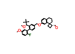 COc1ccc(F)c(-c2ccc(COc3ccc4c(c3)[C@@]3(CCC4)CC[C@H]3C=O)cc2[C@H](OC)C(C)(C)C)c1